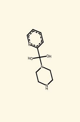 OC(O)(c1ccccn1)N1CCNCC1